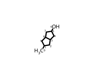 CC1CC2CC(O)CC2C1